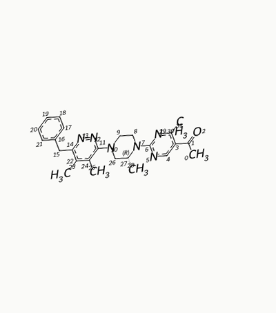 CC(=O)c1cnc(N2CCN(c3nnc(Cc4ccccc4)c(C)c3C)C[C@H]2C)nc1C